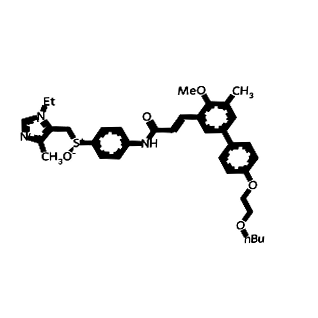 CCCCOCCOc1ccc(-c2cc(C)c(OC)c(/C=C/C(=O)Nc3ccc([S@@+]([O-])Cc4c(C)ncn4CC)cc3)c2)cc1